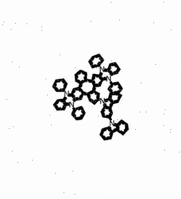 c1ccc(-n2c3ccccc3n(-c3ccccc3)c3cc4c5ccc(-n6c7ccccc7c7cc(-n8c9ccccc9c9ccccc98)ccc76)cc5c5cc6c(cc5c5ccccc5c4cc32)n(-c2ccccc2)c2ccccc2n6-c2ccccc2)cc1